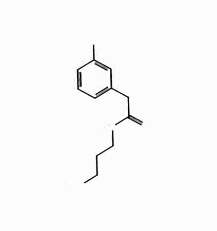 O=C(O)CCC[AsH]C(=O)Cc1cccc(Cl)c1